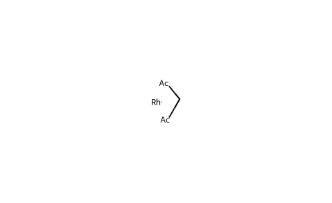 CC(=O)CC(C)=O.[Rh]